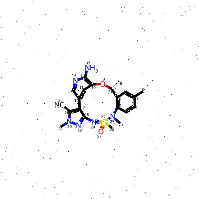 Cc1ccc2c(c1)[C@@H](C)Oc1cc(cnc1N)-c1c(nn(C)c1C#N)N=S(C)(=O)N2C